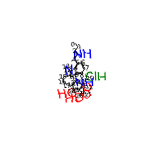 CCCNCc1cccc2c3c(n(C)c12)CCCc1c-3[nH]c(=O)c(C(=O)O)c1O.Cl